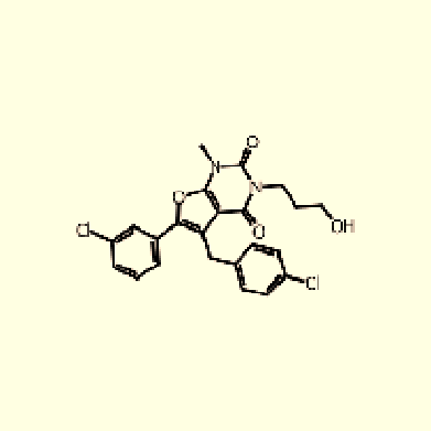 Cn1c(=O)n(CCCO)c(=O)c2c(Cc3ccc(Cl)cc3)c(-c3cccc(Cl)c3)oc21